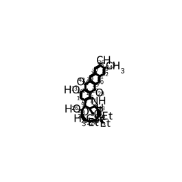 CC[Si](CC)(CC)O[C@H](C)[C@@]12O[C@]13c1cc(O)c4c(c1N[C@H]2C#C/C=C\C#C[C@H]3O)C(=O)c1cc2cc(C)c(C)cc2cc1C4=O